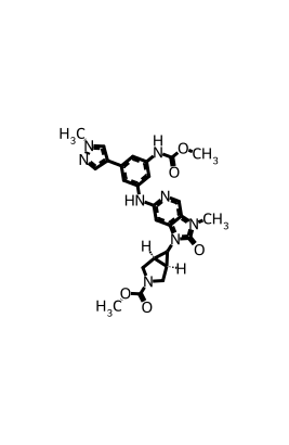 COC(=O)Nc1cc(Nc2cc3c(cn2)n(C)c(=O)n3C2[C@H]3CN(C(=O)OC)C[C@@H]23)cc(-c2cnn(C)c2)c1